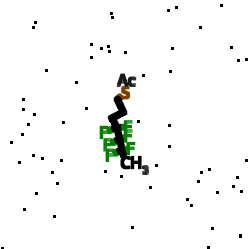 CC(=O)SCCCC(F)(F)C(F)(F)C(C)(F)F